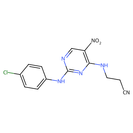 N#CCCNc1nc(Nc2ccc(Cl)cc2)ncc1[N+](=O)[O-]